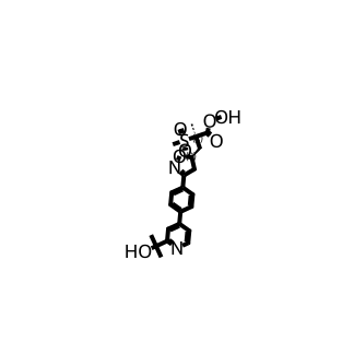 CC(C)(O)c1cc(-c2ccc(C3=NO[C@@H](C[C@](C)(C(=O)OO)S(C)(=O)=O)C3)cc2)ccn1